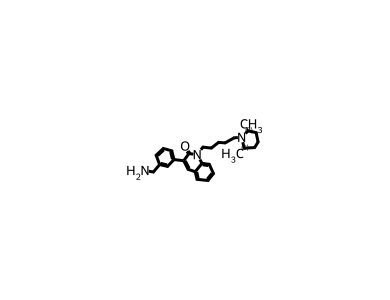 C[C@@H]1CCC[C@H](C)N1CCCCCn1c(=O)c(-c2cccc(CN)c2)cc2ccccc21